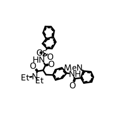 CCN(CC)C(=O)C(Cc1ccc(NC(=O)c2ccccc2NC)cc1)C(=O)NS(=O)(=O)c1ccc2ccccc2c1